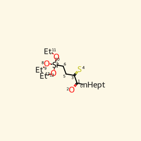 CCCCCCCC(=O)C(=S)CC[Si](OCC)(OCC)OCC